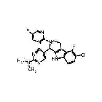 CN(C)c1ncc(C2c3[nH]c4ccc(Cl)c(F)c4c3CCN2c2ncc(F)cn2)cn1